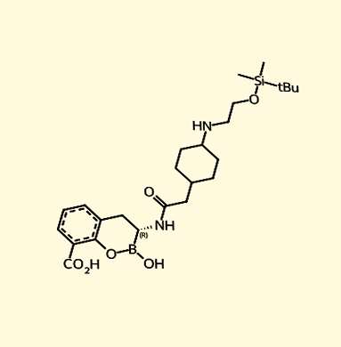 CC(C)(C)[Si](C)(C)OCCNC1CCC(CC(=O)N[C@H]2Cc3cccc(C(=O)O)c3OB2O)CC1